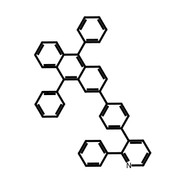 c1ccc(-c2ncccc2-c2ccc(-c3ccc4c(-c5ccccc5)c5ccccc5c(-c5ccccc5)c4c3)cc2)cc1